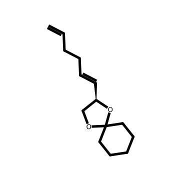 C=CCC/C=C/[C@@H]1COC2(CCCCC2)O1